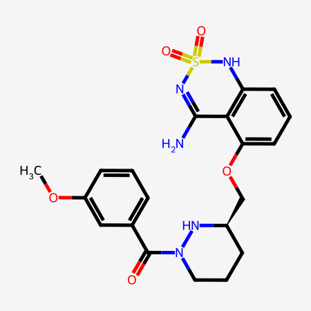 COc1cccc(C(=O)N2CCC[C@H](COc3cccc4c3C(N)=NS(=O)(=O)N4)N2)c1